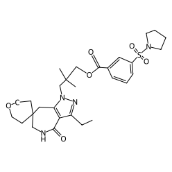 CCc1nn(CC(C)(C)COC(=O)c2cccc(S(=O)(=O)N3CCCC3)c2)c2c1C(=O)NCC1(CCOCC1)C2